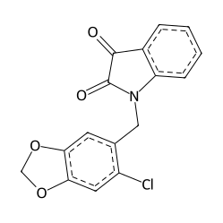 O=C1C(=O)N(Cc2cc3c(cc2Cl)OCO3)c2ccccc21